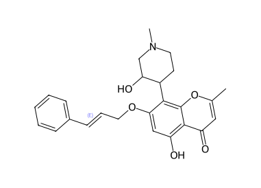 Cc1cc(=O)c2c(O)cc(OC/C=C/c3ccccc3)c(C3CCN(C)CC3O)c2o1